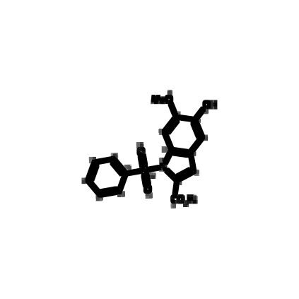 CCOC(=O)c1cc2cc(O)c(OC)cc2n1S(=O)(=O)c1ccccc1